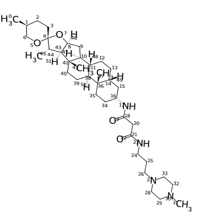 C[C@H]1CC[C@@]2(OC1)O[C@H]1C[C@H]3[C@@H]4CC[C@@H]5C[C@H](NC(=O)CC(=O)NCCCN6CCN(C)CC6)CC[C@]5(C)[C@H]4CC[C@]3(C)[C@H]1[C@@H]2C